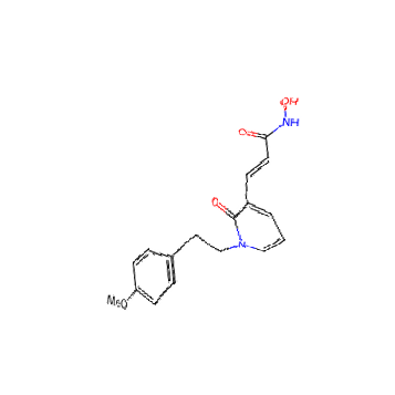 COc1ccc(CCn2cccc(/C=C/C(=O)NO)c2=O)cc1